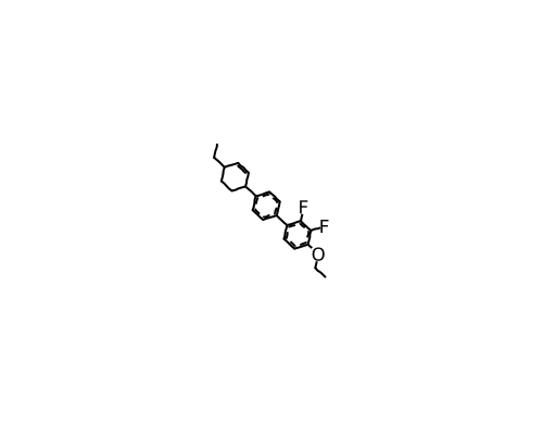 CCOc1ccc(-c2ccc(C3C=CC(CC)CC3)cc2)c(F)c1F